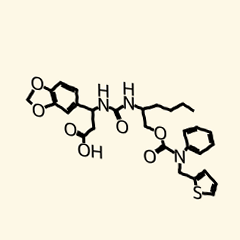 CCCCC(COC(=O)N(Cc1cccs1)c1ccccc1)NC(=O)NC(CC(=O)O)c1ccc2c(c1)OCO2